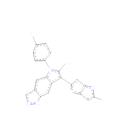 CC(C)c1c(-c2cc3[nH]c(C(=O)O)cc3s2)c2cc3[nH]ncc3cc2n1-c1ccc(F)cc1